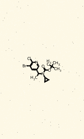 CC(c1cnc(Cl)c(Br)c1)N(C(=O)OC(C)(C)C)C1CC1